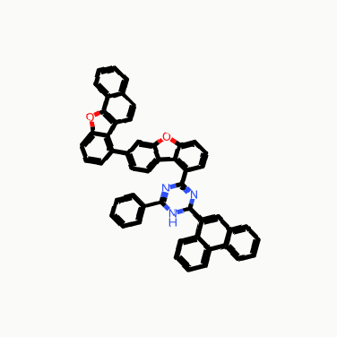 c1ccc(C2=NC(c3cccc4oc5cc(-c6cccc7oc8c9ccccc9ccc8c67)ccc5c34)=NC(c3cc4ccccc4c4ccccc34)N2)cc1